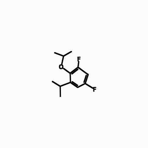 CC(C)Oc1c(F)cc(F)cc1C(C)C